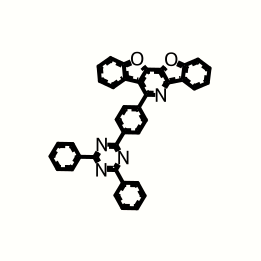 c1ccc(-c2nc(-c3ccccc3)nc(-c3ccc(-c4nc5c6ccccc6oc5c5oc6ccccc6c45)cc3)n2)cc1